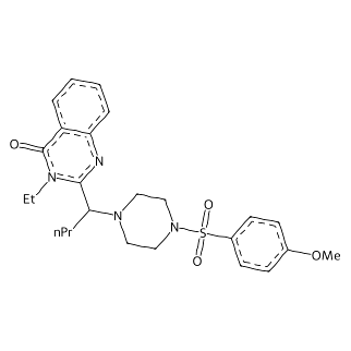 CCCC(c1nc2ccccc2c(=O)n1CC)N1CCN(S(=O)(=O)c2ccc(OC)cc2)CC1